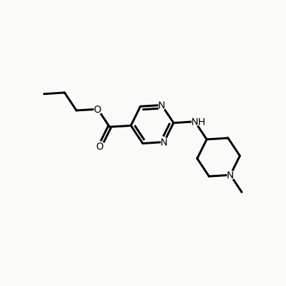 CCCOC(=O)c1cnc(NC2CCN(C)CC2)nc1